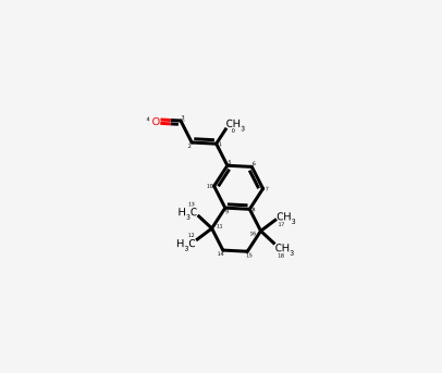 CC(=C[C]=O)c1ccc2c(c1)C(C)(C)CCC2(C)C